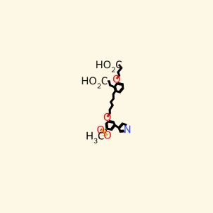 CS(=O)(=O)c1cc(OCCCCCCc2cccc(OCCCC(=O)O)c2CCC(=O)O)cc(-c2ccncc2)c1